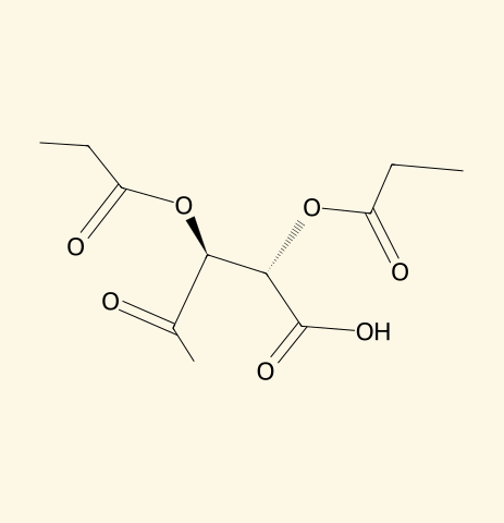 CCC(=O)O[C@H](C(C)=O)[C@H](OC(=O)CC)C(=O)O